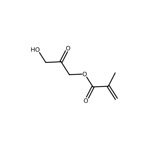 C=C(C)C(=O)OCC(=O)CO